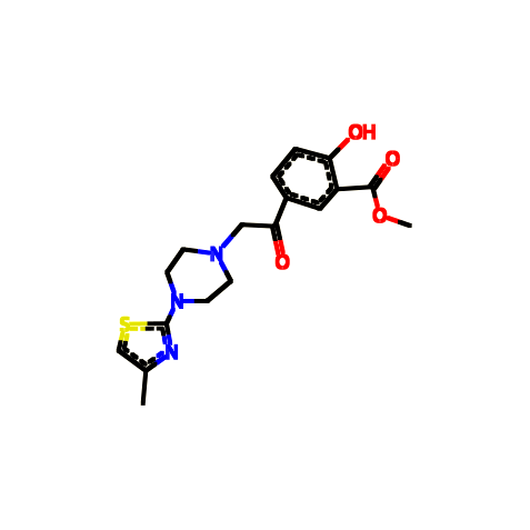 COC(=O)c1cc(C(=O)CN2CCN(c3nc(C)cs3)CC2)ccc1O